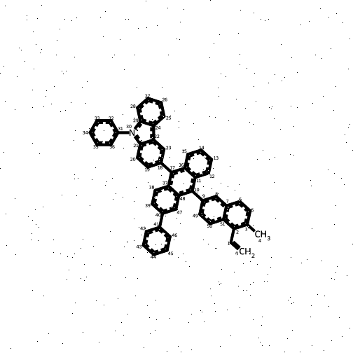 C=Cc1c(C)ccc2cc(-c3c4ccccc4c(-c4ccc5c(c4)c4ccccc4n5-c4ccccc4)c4ccc(-c5ccccc5)cc34)ccc12